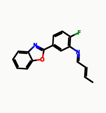 C/C=C/C=Nc1cc(-c2nc3ccccc3o2)ccc1F